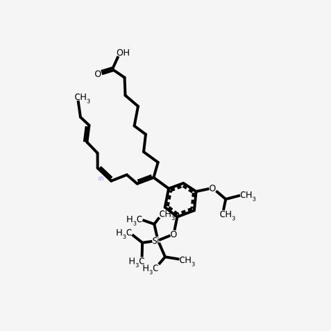 CCC=CC/C=C\CC=C(CCCCCCCC(=O)O)c1cc(OC(C)C)cc(O[Si](C(C)C)(C(C)C)C(C)C)c1